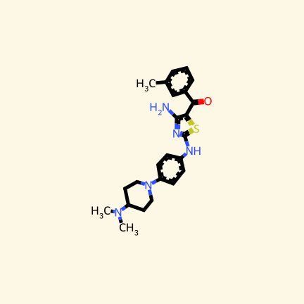 Cc1cccc(C(=O)c2sc(Nc3ccc(N4CCC(N(C)C)CC4)cc3)nc2N)c1